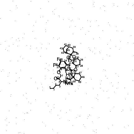 CCCCC(C(=O)COc1c(F)c(F)cc(F)c1F)n1cc(C2(NC(=O)OC3CCCC4(C3)OOC3(O4)C(C)CC4CCCC3C4)CCCCC2)nn1